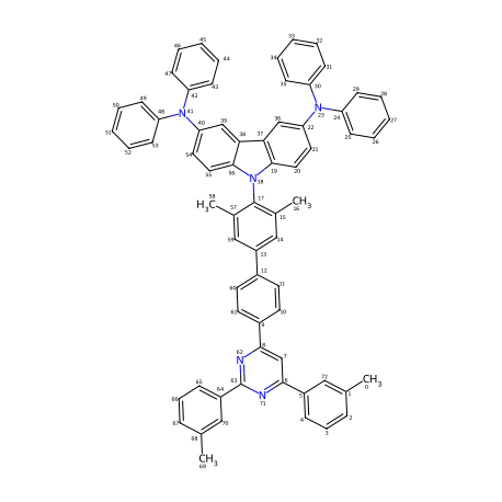 Cc1cccc(-c2cc(-c3ccc(-c4cc(C)c(-n5c6ccc(N(c7ccccc7)c7ccccc7)cc6c6cc(N(c7ccccc7)c7ccccc7)ccc65)c(C)c4)cc3)nc(-c3cccc(C)c3)n2)c1